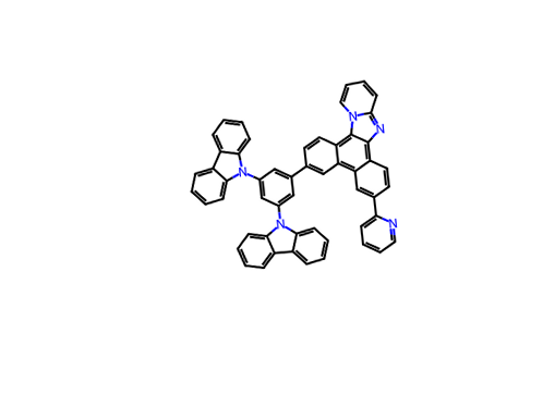 c1ccc(-c2ccc3c(c2)c2cc(-c4cc(-n5c6ccccc6c6ccccc65)cc(-n5c6ccccc6c6ccccc65)c4)ccc2c2c3nc3ccccn32)nc1